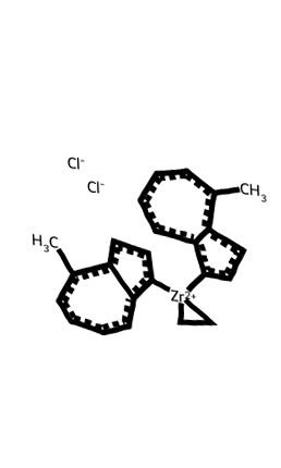 Cc1ccccc2[c]([Zr+2]3([c]4ccc5c(C)ccccc4-5)[CH2][CH2]3)ccc1-2.[Cl-].[Cl-]